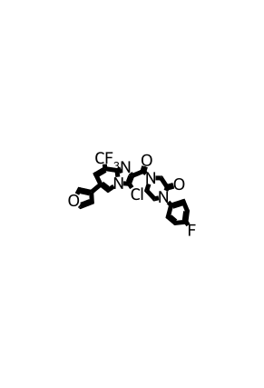 O=C(c1nc2c(C(F)(F)F)cc(-c3ccoc3)cn2c1Cl)N1CCN(c2ccc(F)cc2)C(=O)C1